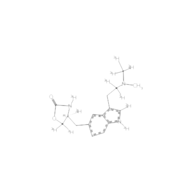 [2H]c1c(CC([2H])([2H])N(C)C([2H])([2H])[2H])c2cc(C[C@]3([2H])N([2H])C(=O)OC3([2H])[2H])ccc2n1[2H]